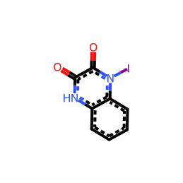 O=c1[nH]c2ccccc2n(I)c1=O